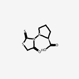 O=C(O)[C@@H]1CCCN1N1C(=O)CSC1=S